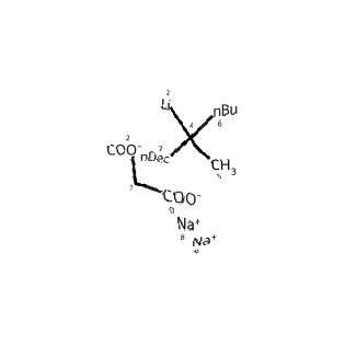 O=C([O-])CC(=O)[O-].[Li][C](C)(CCCC)CCCCCCCCCC.[Na+].[Na+]